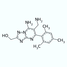 Cc1cc(C)c(-c2nc3nc(CO)nn3c(N)c2CN)c(C)c1